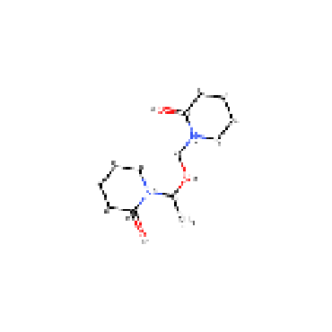 CC(OCN1CCCCC1=O)N1CCCCC1=O